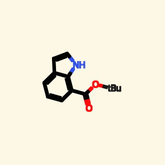 CC(C)(C)OC(=O)c1cccc2cc[nH]c12